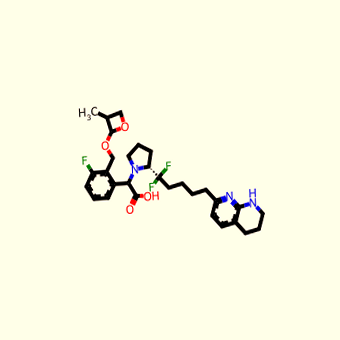 CC1COC1OCc1c(F)cccc1C(C(=O)O)N1CCC[C@@H]1C(F)(F)CCCCc1ccc2c(n1)NCCC2